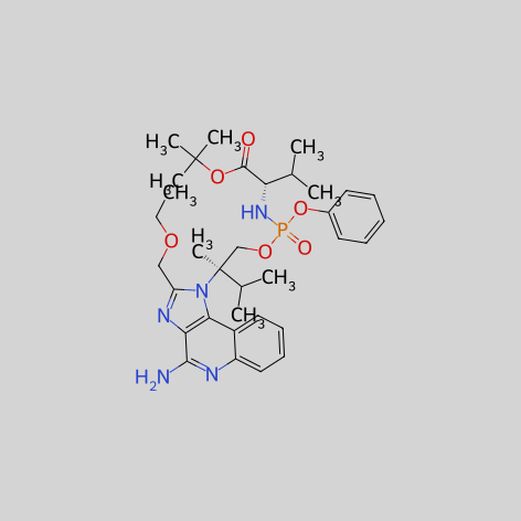 CCOCc1nc2c(N)nc3ccccc3c2n1[C@@](C)(COP(=O)(N[C@H](C(=O)OC(C)(C)C)C(C)C)Oc1ccccc1)C(C)C